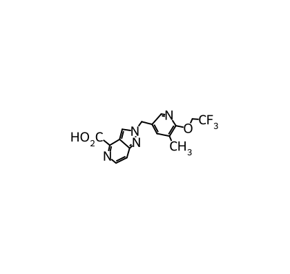 Cc1cc(Cn2cc3c(C(=O)O)nccc3n2)cnc1OCC(F)(F)F